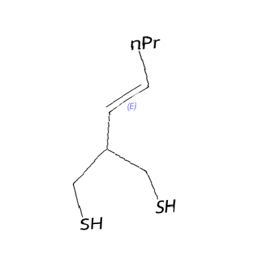 CCC/C=C/C(CS)CS